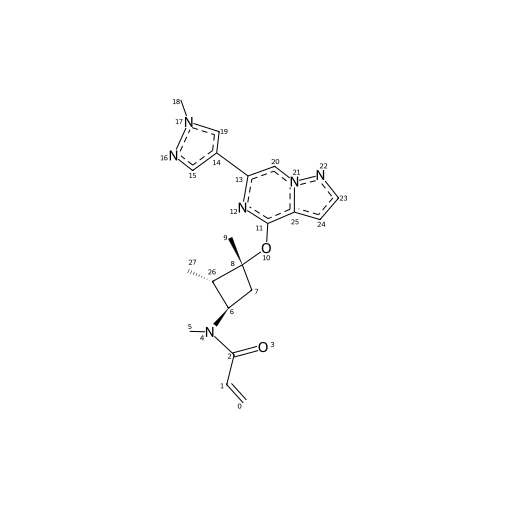 C=CC(=O)N(C)[C@@H]1C[C@@](C)(Oc2nc(-c3cnn(C)c3)cn3nccc23)[C@H]1C